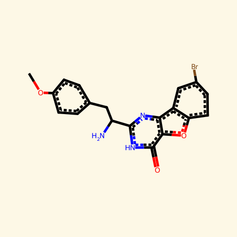 COc1ccc(CC(N)c2nc3c(oc4ccc(Br)cc43)c(=O)[nH]2)cc1